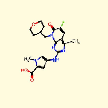 Cc1nc(Nc2cc(C(=O)O)n(C)c2)nc2c1cc(F)c(=O)n2CC1CCOCC1